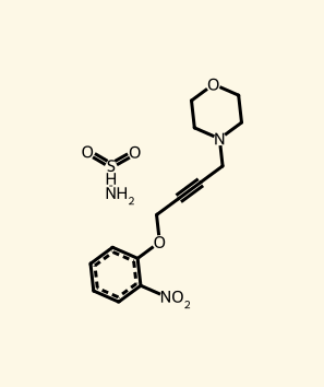 N[SH](=O)=O.O=[N+]([O-])c1ccccc1OCC#CCN1CCOCC1